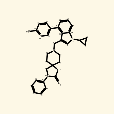 O=C1OC2(CCN(Cc3cn(C4CC4)c4cccc(-c5ccc(F)nc5)c34)CC2)CN1c1ccccc1